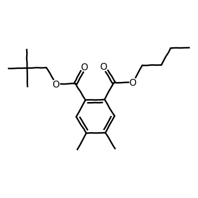 CCCCOC(=O)c1cc(C)c(C)cc1C(=O)OCC(C)(C)C